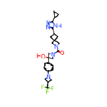 O=C(N1CC2(CC(c3nnc(C4CC4)[nH]3)C2)C1)N1CC(O)(c2ccc(N3CC(C(F)(F)F)C3)cc2)C1